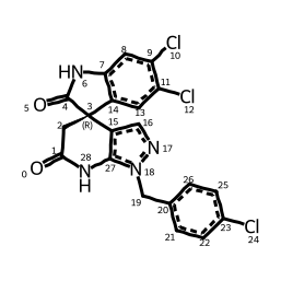 O=C1C[C@]2(C(=O)Nc3cc(Cl)c(Cl)cc32)c2cnn(Cc3ccc(Cl)cc3)c2N1